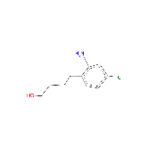 Nc1cc(Cl)ccc1CCCCO